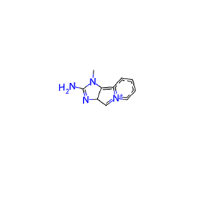 CN1C(N)=NC2C=[n+]3ccccc3=C21